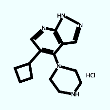 Cl.c1nc2[nH]ncc2c(N2CCNCC2)c1C1CCC1